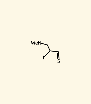 CNCC(I)[C]=S